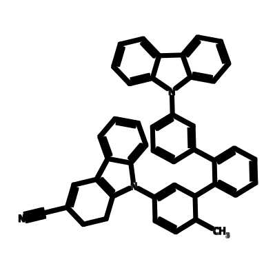 CC1C=CC(n2c3c(c4ccccc42)C=C(C#N)CC3)=CC1c1ccccc1-c1cccc(-n2c3ccccc3c3ccccc32)c1